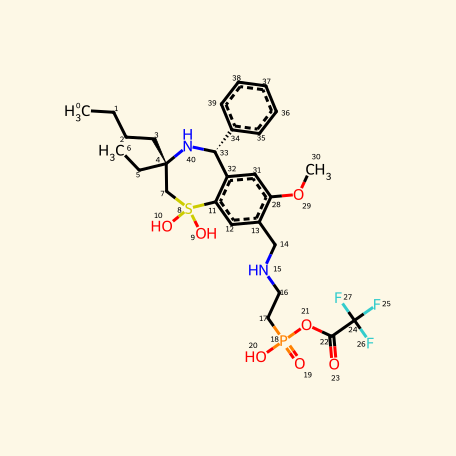 CCCC[C@]1(CC)CS(O)(O)c2cc(CNCCP(=O)(O)OC(=O)C(F)(F)F)c(OC)cc2[C@@H](c2ccccc2)N1